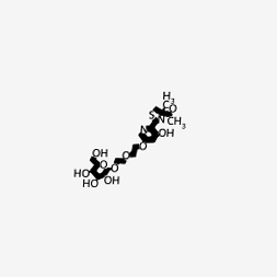 CC(=O)[C@@]1(C)CSC(c2ncc(OCCOCCO[C@@H]3OC(CO)[C@@H](O)[C@@H](O)C3O)cc2O)=N1